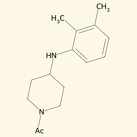 CC(=O)N1CCC(Nc2cccc(C)c2C)CC1